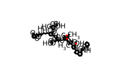 Cc1c(-c2ccc(-c3ccc4cccc(C(=O)Nc5nc6ccccc6s5)c4c3)nc2C(=O)O)cnn1CC12CC3(C)CC(C)(C1)CC(OCCN(CCS(=O)(=O)O)C(=O)OCc1ccc(CCCCNC(=O)CN4C(=O)C=CC4=O)cc1O[C@@H]1O[C@H](C(=O)O)[C@@H](O)C(O)[C@H]1O)(C3)C2